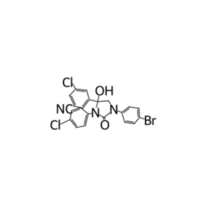 N#Cc1cc(Cl)cc(C2(O)CN(c3ccc(Br)cc3)C(=O)N2c2ccc(Cl)cc2)c1